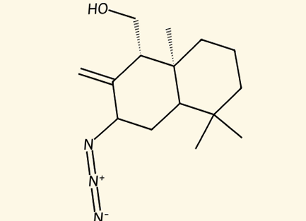 C=C1C(N=[N+]=[N-])CC2C(C)(C)CCC[C@]2(C)[C@H]1CO